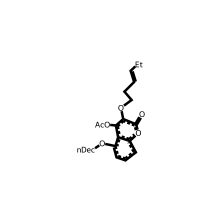 CC/C=C/CCOc1c(OC(C)=O)c2c(OCCCCCCCCCC)cccc2oc1=O